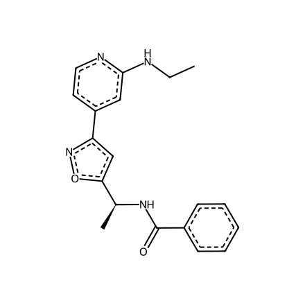 CCNc1cc(-c2cc([C@H](C)NC(=O)c3ccccc3)on2)ccn1